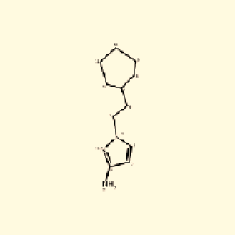 Nc1ccn(CCC2CCCCC2)n1